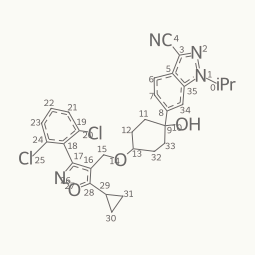 CC(C)n1nc(C#N)c2ccc(C3(O)CCC(OCc4c(-c5c(Cl)cccc5Cl)noc4C4CC4)CC3)cc21